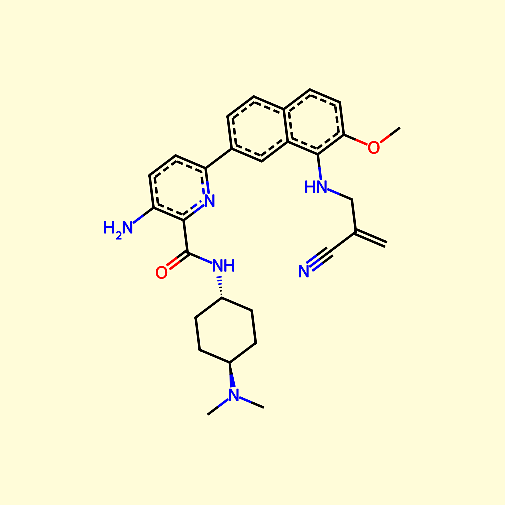 C=C(C#N)CNc1c(OC)ccc2ccc(-c3ccc(N)c(C(=O)N[C@H]4CC[C@H](N(C)C)CC4)n3)cc12